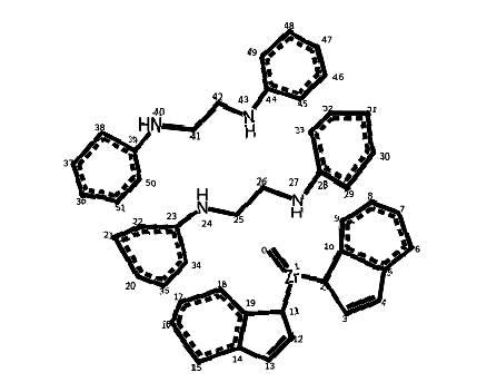 [CH2]=[Zr]([CH]1C=Cc2ccccc21)[CH]1C=Cc2ccccc21.c1ccc(NCCNc2ccccc2)cc1.c1ccc(NCCNc2ccccc2)cc1